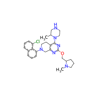 CC1CNCCN1c1nc(OCC2CCCN2C)nc2c1CCN(c1cccc3cccc(Cl)c13)C2